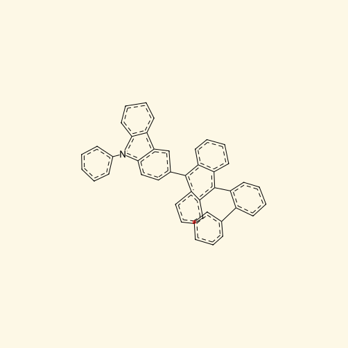 c1ccc(-c2ccccc2-c2c3ccccc3c(-c3ccc4c(c3)c3ccccc3n4-c3ccccc3)c3ccccc23)cc1